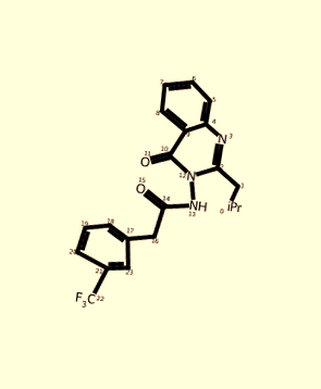 CC(C)Cc1nc2ccccc2c(=O)n1NC(=O)Cc1cccc(C(F)(F)F)c1